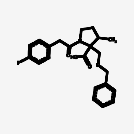 CC1CCN(C(=O)Cc2ccc(F)cc2)C1(COCc1ccccc1)C(=O)O